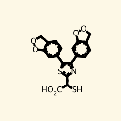 O=C(O)C(S)c1nc(-c2ccc3c(c2)OOC3)c(-c2ccc3c(c2)OOC3)s1